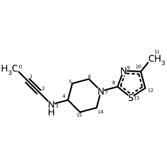 CC#CNC1CCN(c2nc(C)cs2)CC1